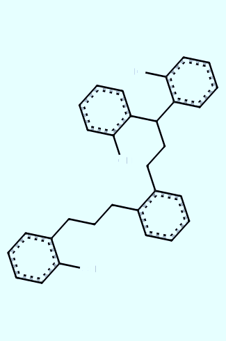 Oc1ccccc1CCCc1ccccc1CCC(c1ccccc1O)c1ccccc1O